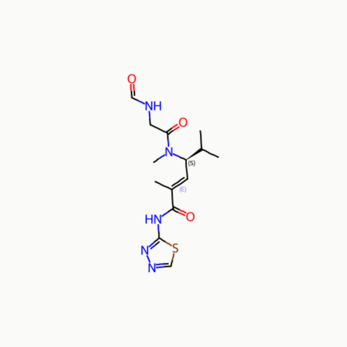 C/C(=C\[C@H](C(C)C)N(C)C(=O)CNC=O)C(=O)Nc1nncs1